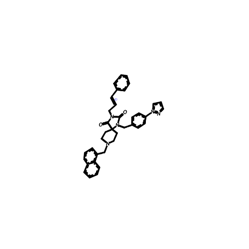 O=C1N(C/C=C/c2ccccc2)C(=O)C2(CCN(Cc3cccc4ccccc34)CC2)N1Cc1ccc(-n2cccn2)cc1